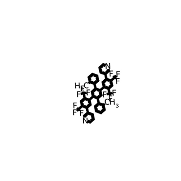 Cc1ccccc1-c1cc(-c2cc(-c3cccnc3)c(C(F)(F)F)cc2C(F)(F)F)c(-c2ccccc2C)cc1-c1cc(-c2cccnc2)c(C(F)(F)F)cc1C(F)(F)F